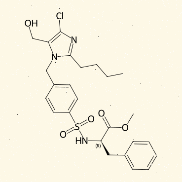 CCCCc1nc(Cl)c(CO)n1Cc1ccc(S(=O)(=O)N[C@H](Cc2ccccc2)C(=O)OC)cc1